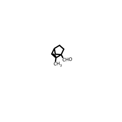 CC1=CC2CCC1(C=O)C2